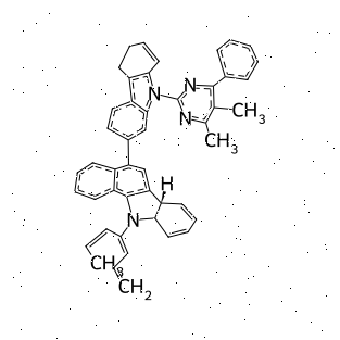 C=C/C=C(\C=C/C)N1c2c(cc(-c3ccc4c5c(n(-c6nc(C)c(C)c(-c7ccccc7)n6)c4c3)C=CCC5)c3ccccc23)[C@@H]2C=CC=CC21